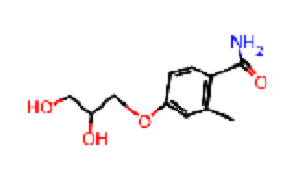 Cc1cc(OCC(O)CO)ccc1C(N)=O